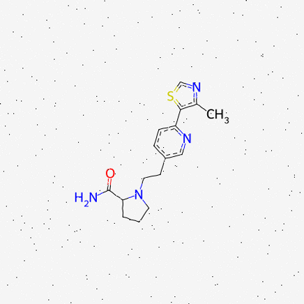 Cc1ncsc1-c1ccc(CCN2CCCC2C(N)=O)cn1